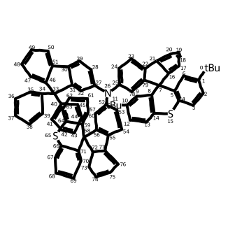 CC(C)(C)c1ccc2c(c1)C1(c3cc(C(C)(C)C)ccc3S2)c2ccccc2-c2ccc(N(c3ccc4c(c3)C(c3ccccc3)(c3ccccc3)c3ccccc3-4)c3ccc4c(c3)C3(c5ccccc5Sc5ccccc53)C3CC=CC=C43)cc21